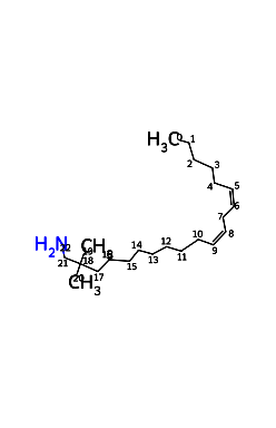 CCCCC/C=C\C/C=C\CCCCCCCCC(C)(C)CN